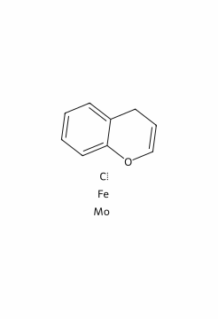 C1=COc2ccccc2C1.[C].[Fe].[Mo]